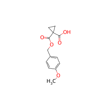 COc1ccc(COC(=O)C2(C(=O)O)CC2)cc1